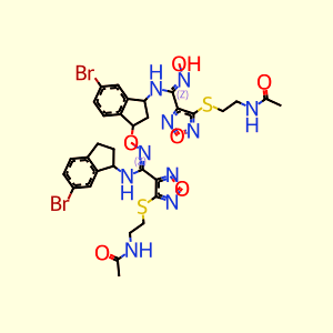 CC(=O)NCCSc1nonc1/C(=N/OC1CC(N/C(=N\O)c2nonc2SCCNC(C)=O)c2cc(Br)ccc21)NC1CCc2ccc(Br)cc21